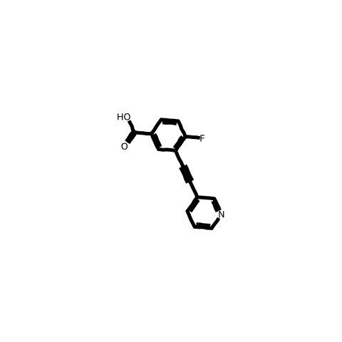 O=C(O)c1ccc(F)c(C#Cc2cccnc2)c1